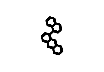 [c]1c2ccccc2cc2c(-c3cccc4ccccc34)cccc12